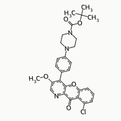 COc1cnc2c(=O)c3c(Cl)cccc3oc2c1-c1ccc(N2CCN(C(=O)OC(C)(C)C)CC2)cc1